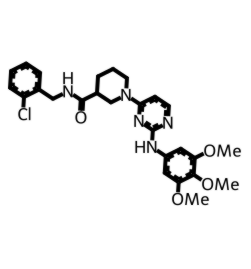 COc1cc(Nc2nccc(N3CCCC(C(=O)NCc4ccccc4Cl)C3)n2)cc(OC)c1OC